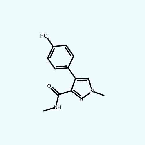 CNC(=O)c1nn(C)cc1-c1ccc(O)cc1